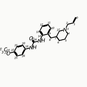 C=CCN1CCCC(Cc2ccccc2NC(=O)Nc2ccc(OC(F)(F)F)cc2)C1